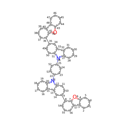 c1ccc2c(c1)oc1c(-c3ccc4c(c3)c3ccccc3n4-c3ccc(-n4c5ccccc5c5cc(-c6cccc7c6oc6ccccc67)ccc54)cc3)cccc12